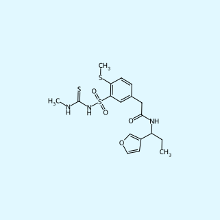 CCC(NC(=O)Cc1ccc(SC)c(S(=O)(=O)NC(=S)NC)c1)c1ccoc1